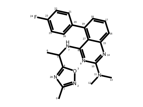 Cc1noc(C(C)Nc2nc(N(C)C)nc3cccc(-c4ccc(F)cc4)c23)n1